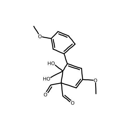 COC1=CC(C=O)(C=O)C(O)(O)C(c2cccc(OC)c2)=C1